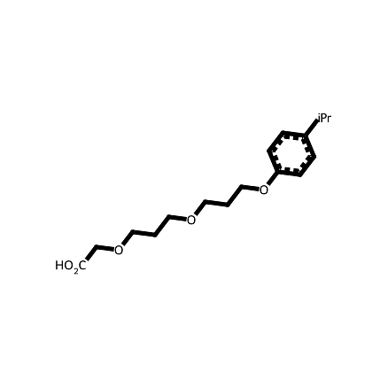 CC(C)c1ccc(OCCCOCCCOCC(=O)O)cc1